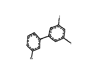 Brc1cccc(-c2cc(I)cc(I)c2)c1